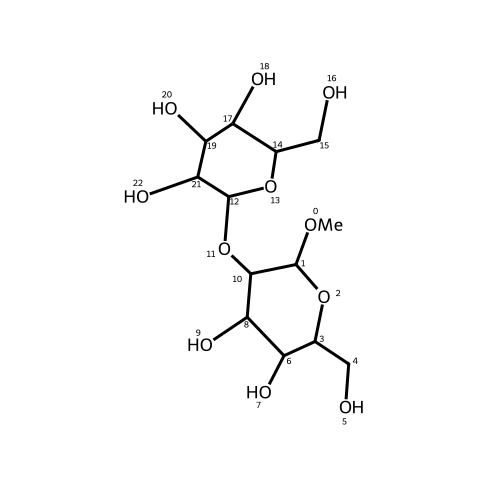 COC1OC(CO)C(O)C(O)C1OC1OC(CO)C(O)C(O)C1O